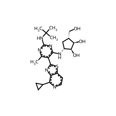 Cc1nc(NC(C)(C)C)nc(N[C@@H]2C[C@H](CO)[C@@H](O)[C@H]2O)c1-c1nc2c(C3CC3)nccc2s1